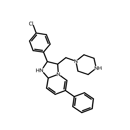 Clc1ccc(C2NC3C=CC(c4ccccc4)=CN3C2CN2CCNCC2)cc1